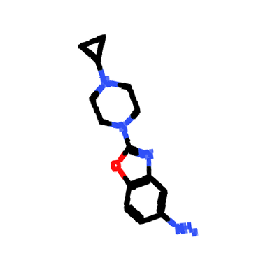 Nc1ccc2oc(N3CCN(C4CC4)CC3)nc2c1